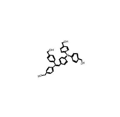 OCc1ccc(C(=Cc2ccc(N(c3ccc(CO)cc3)c3ccc(CO)cc3)cc2)c2ccc(CO)cc2)cc1